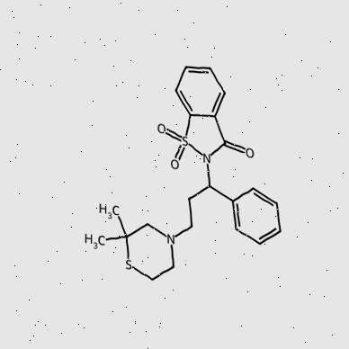 CC1(C)CN(CCC(c2ccccc2)N2C(=O)c3ccccc3S2(=O)=O)CCS1